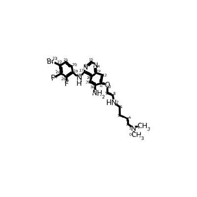 CN(C)CCCCNCCOc1cc2ncnc(Nc3ccc(Br)c(F)c3F)c2cc1N